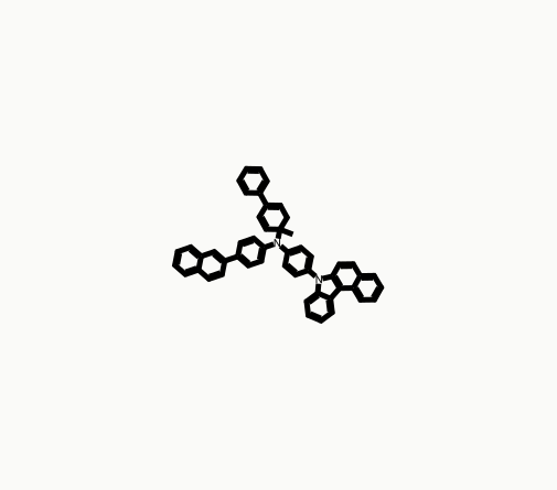 CC1(N(c2ccc(-c3ccc4ccccc4c3)cc2)c2ccc(-n3c4ccccc4c4c5ccccc5ccc43)cc2)C=CC(c2ccccc2)=CC1